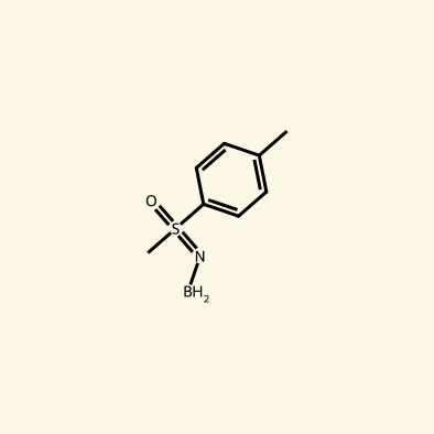 BN=S(C)(=O)c1ccc(C)cc1